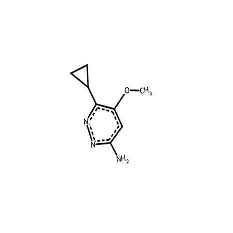 COc1cc(N)nnc1C1CC1